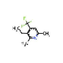 CCc1c(C(F)(F)F)cc(C)nc1C